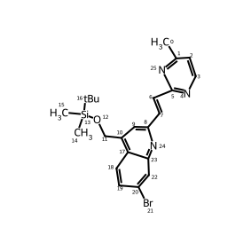 Cc1ccnc(/C=C/c2cc(CO[Si](C)(C)C(C)(C)C)c3ccc(Br)cc3n2)n1